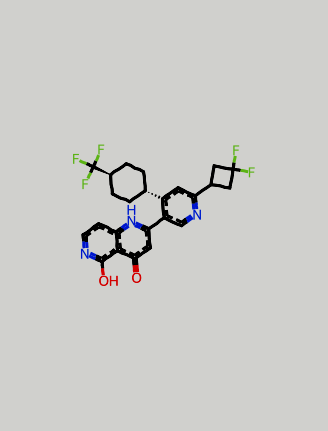 O=c1cc(-c2cnc(C3CC(F)(F)C3)cc2[C@H]2CC[C@H](C(F)(F)F)CC2)[nH]c2ccnc(O)c12